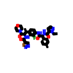 CCn1nccc1C(=O)N[C@H](C(=O)Nc1ccc([C@H](C)[C@@H](NC(=O)c2cnns2)C(=O)N2CCOCC2)cc1F)[C@H]1CC[C@H](C)CC1